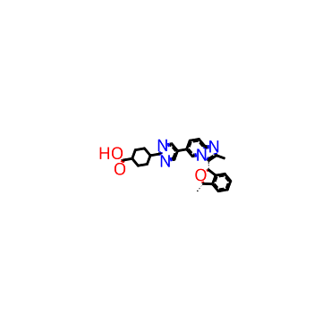 Cc1nc2ccc(-c3cnc(C4CCC(C(=O)O)CC4)nc3)cn2c1[C@H]1O[C@@H](C)c2ccccc21